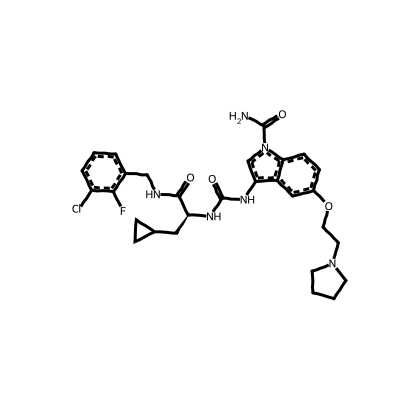 NC(=O)n1cc(NC(=O)N[C@@H](CC2CC2)C(=O)NCc2cccc(Cl)c2F)c2cc(OCCN3CCCC3)ccc21